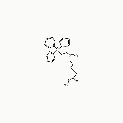 CN(CCCCC(=O)OC(C)(C)C)CC[PH](c1ccccc1)(c1ccccc1)c1ccccc1